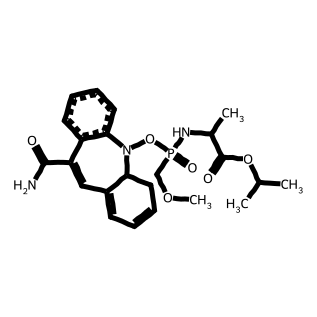 COCP(=O)(NC(C)C(=O)OC(C)C)ON1c2ccccc2C(C(N)=O)=CC2=CC=CCC21